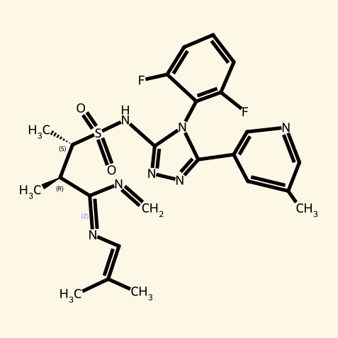 C=N/C(=N\C=C(C)C)[C@@H](C)[C@H](C)S(=O)(=O)Nc1nnc(-c2cncc(C)c2)n1-c1c(F)cccc1F